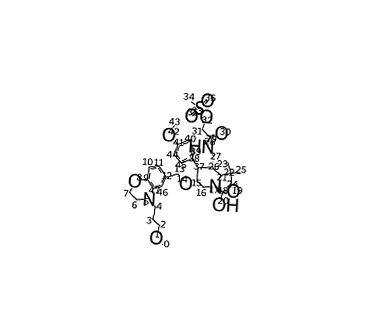 COCCCN1CCOc2ccc(CO[C@H]3CN(C(=O)O)C(C(C)(C)C)[C@@H](CNC(=O)COS(C)(=O)=O)[C@@H]3c3ccc(OC)cc3)cc21